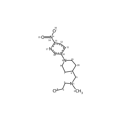 CN(CCCl)CC1CCN(c2ccc([N+](=O)[O-])nc2)CC1